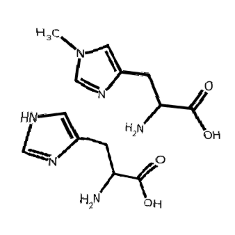 Cn1cnc(CC(N)C(=O)O)c1.NC(Cc1c[nH]cn1)C(=O)O